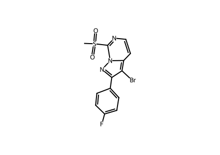 CS(=O)(=O)c1nccc2c(Br)c(-c3ccc(F)cc3)nn12